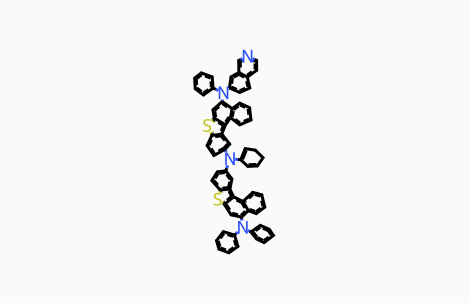 C1=CC(N(c2ccc3sc4cc(N(c5ccccc5)c5ccccc5)c5ccccc5c4c3c2)c2ccc3sc4cc(N(c5ccccc5)c5ccc6ccncc6c5)c5ccccc5c4c3c2)=CCC1